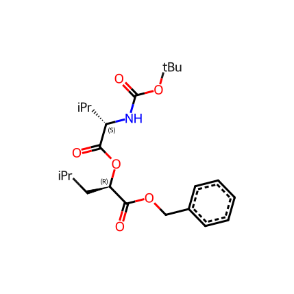 CC(C)C[C@@H](OC(=O)[C@@H](NC(=O)OC(C)(C)C)C(C)C)C(=O)OCc1ccccc1